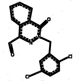 O=Cc1nn(Cc2cc(Cl)ccc2Cl)c(=O)c2ccccc12